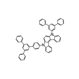 c1ccc(-c2cc(-c3ccccc3)cc(-c3ccc(-n4c5ccccc5c5c6c7ccccc7n(-c7cc(-c8ccccc8)cc(-c8ccccc8)c7)c6ccc54)cc3)c2)cc1